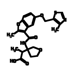 Cc1ncsc1COc1ccc2oc(C)c(C(=O)NC3(C(C)C(=O)O)CCOC3)c2c1